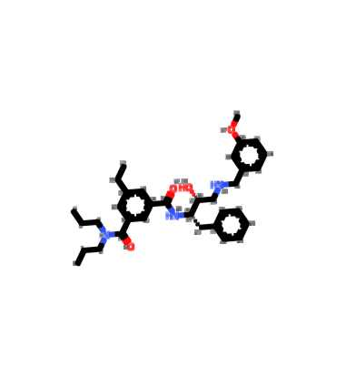 CCCN(CCC)C(=O)c1cc(CC)cc(C(=O)N[C@@H](Cc2ccccc2)[C@H](O)CNCc2cccc(OC)c2)c1